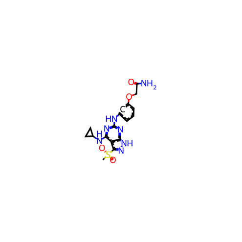 CS(=O)(=O)c1n[nH]c2nc(Nc3cccc(OCC(N)=O)c3)nc(NC3CC3)c12